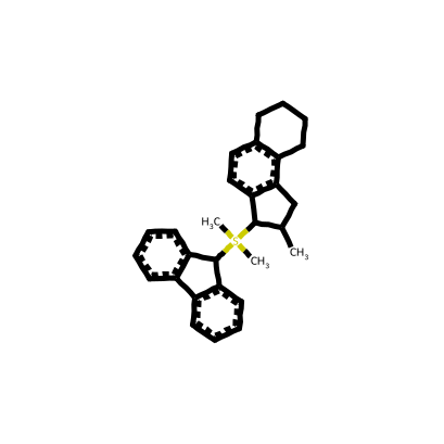 CC1Cc2c(ccc3c2CCCC3)C1S(C)(C)C1c2ccccc2-c2ccccc21